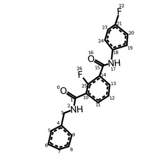 O=C(NCc1ccccc1)c1cccc(C(=O)Nc2ccc(F)cc2)c1F